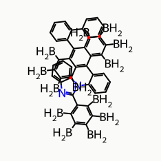 Bc1c(B)c(B)c(-c2nc3ccccc3n2-c2ccccc2-c2c3c(B)c(B)c(B)c(B)c3c(-c3ccccc3-c3ccccc3)c3c(B)c(B)c(B)c(B)c23)c(B)c1B